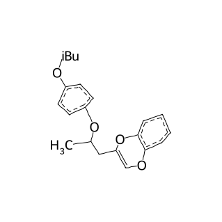 CCC(C)Oc1ccc(OC(C)CC2=COc3ccccc3O2)cc1